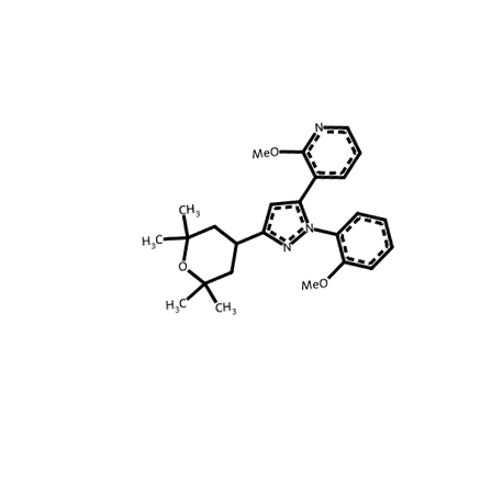 COc1ccccc1-n1nc(C2CC(C)(C)OC(C)(C)C2)cc1-c1cccnc1OC